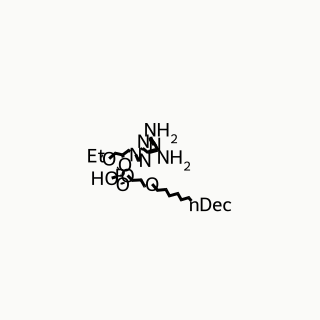 CCCCCCCCCCCCCCCCOCCCOP(=O)(O)COC(COCC)Cn1cnc2c(N)nc(N)nc21